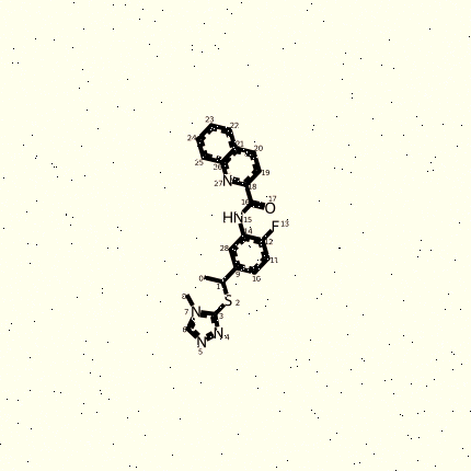 CC(Sc1nncn1C)c1ccc(F)c(NC(=O)c2ccc3ccccc3n2)c1